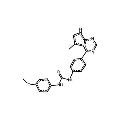 COc1ccc(NC(=O)Nc2ccc(-c3ncnc4[nH]cc(C)c34)cc2)cc1